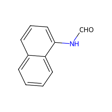 O=CNc1cccc2ccccc12